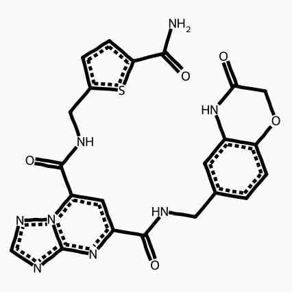 NC(=O)c1ccc(CNC(=O)c2cc(C(=O)NCc3ccc4c(c3)NC(=O)CO4)nc3ncnn23)s1